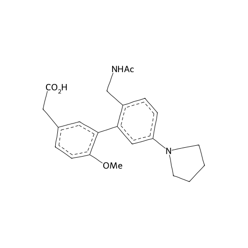 COc1ccc(CC(=O)O)cc1-c1cc(N2CCCC2)ccc1CNC(C)=O